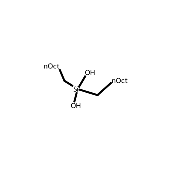 CCCCCCCCC[Si](O)(O)CCCCCCCCC